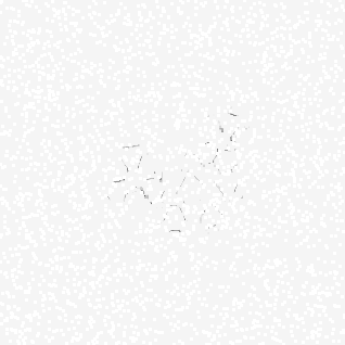 C1=CCCC(c2nc3c4ccccc4c4ccccc4c3nc2-c2cccc(-c3cccc(-c4cccc(-c5cccc6c5oc5ccccc56)c4)c3)c2)=C1